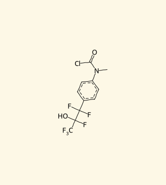 CN(C(=O)Cl)c1ccc(C(F)(F)C(O)(F)C(F)(F)F)cc1